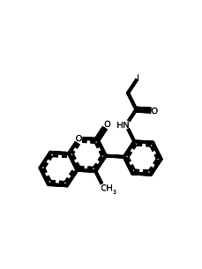 Cc1c(-c2ccccc2NC(=O)CI)c(=O)oc2ccccc12